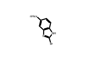 CCCCCCc1ccc2[nH]c(Br)nc2c1